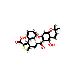 COc1cc2c(c(O)c1C(=O)C=Cc1csc(C(=O)O)c1-c1ccccc1)C=CC(C)(C)O2